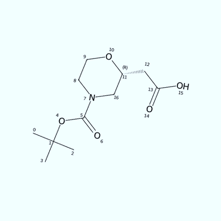 CC(C)(C)OC(=O)N1CCO[C@H](CC(=O)O)C1